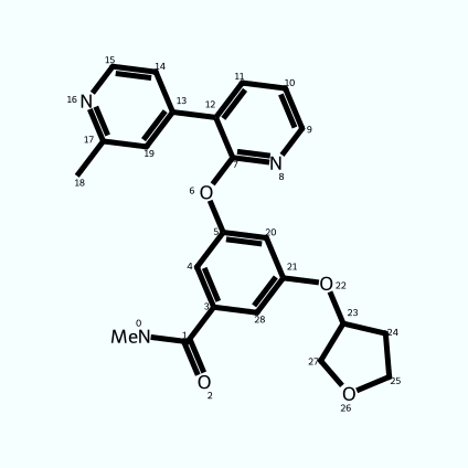 CNC(=O)c1cc(Oc2ncccc2-c2ccnc(C)c2)cc(OC2CCOC2)c1